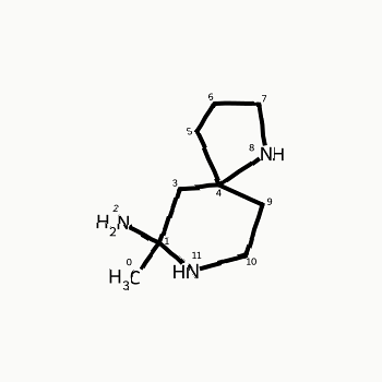 CC1(N)CC2(CCCN2)CCN1